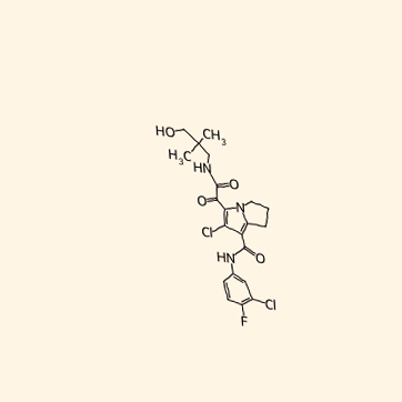 CC(C)(CO)CNC(=O)C(=O)c1c(Cl)c(C(=O)Nc2ccc(F)c(Cl)c2)c2n1CCC2